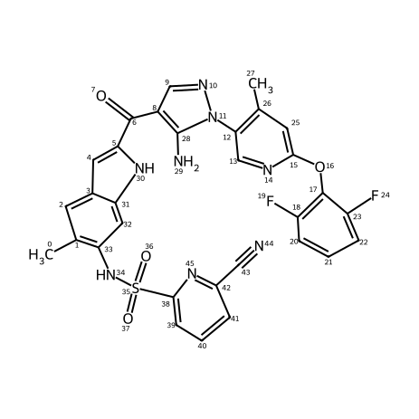 Cc1cc2cc(C(=O)c3cnn(-c4cnc(Oc5c(F)cccc5F)cc4C)c3N)[nH]c2cc1NS(=O)(=O)c1cccc(C#N)n1